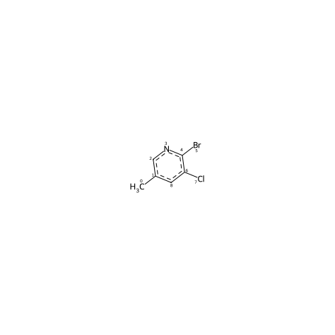 Cc1cnc(Br)c(Cl)c1